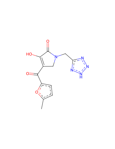 Cc1ccc(C(=O)C2=C(O)C(=O)N(Cc3nn[nH]n3)C2)o1